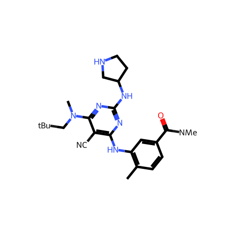 CNC(=O)c1ccc(C)c(Nc2nc(NC3CCNC3)nc(N(C)CC(C)(C)C)c2C#N)c1